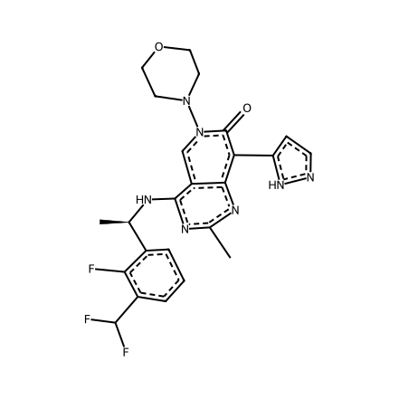 Cc1nc(N[C@H](C)c2cccc(C(F)F)c2F)c2cn(N3CCOCC3)c(=O)c(-c3ccn[nH]3)c2n1